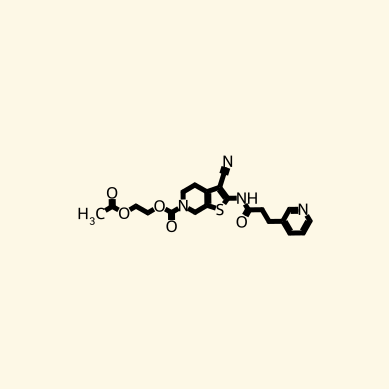 CC(=O)OCCOC(=O)N1CCc2c(sc(NC(=O)CCc3cccnc3)c2C#N)C1